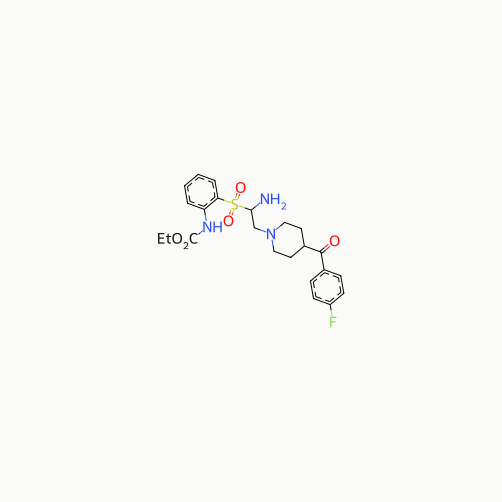 CCOC(=O)Nc1ccccc1S(=O)(=O)C(N)CN1CCC(C(=O)c2ccc(F)cc2)CC1